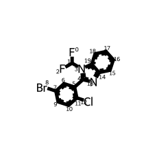 FC(F)n1c(-c2cc(Br)ccc2Cl)nc2ccccc21